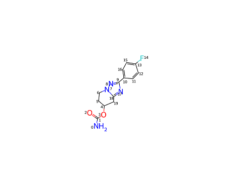 NC(=O)OC1CCn2nc(-c3ccc(F)cc3)nc2C1